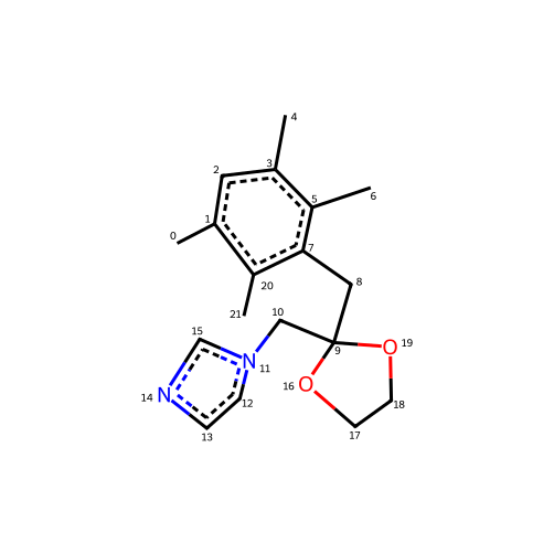 Cc1cc(C)c(C)c(CC2(Cn3ccnc3)OCCO2)c1C